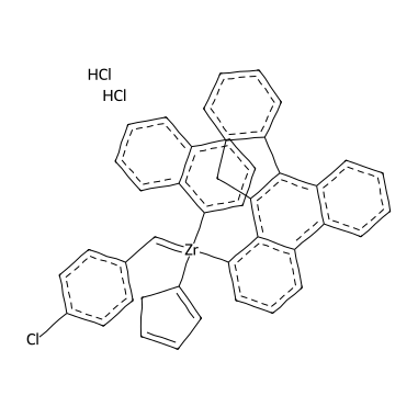 Cl.Cl.Clc1ccc([CH]=[Zr]([C]2=CC=CC2)([c]2cccc3ccccc23)[c]2cccc3c2c2c(c4ccccc43)-c3ccccc3C2)cc1